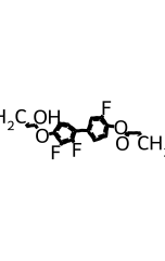 C=CC(=O)Oc1ccc(-c2ccc(OC(O)C=C)c(F)c2F)cc1F